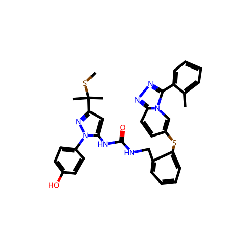 CSC(C)(C)c1cc(NC(=O)NCc2ccccc2Sc2ccc3nnc(-c4ccccc4C)n3c2)n(-c2ccc(O)cc2)n1